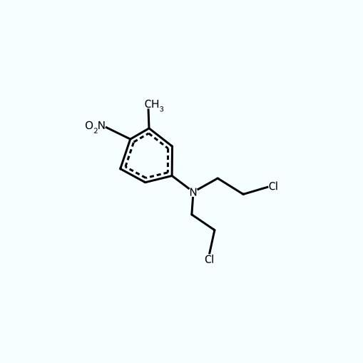 Cc1cc(N(CCCl)CCCl)ccc1[N+](=O)[O-]